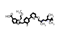 C=C/C(=C\C=C(/C)COc1cccc(-c2ccc(Cc3nc4ccc(C(=O)O)cc4n3CCOC)c(F)c2)n1)C1(C)CC1